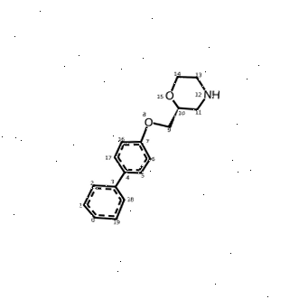 c1ccc(-c2ccc(OC[C@@H]3CNCCO3)cc2)cc1